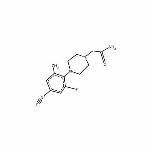 [C-]#[N+]c1cc(C)c(N2CCN(CC(N)=O)CC2)c(F)c1